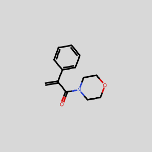 C=C(C(=O)N1CCOCC1)c1ccccc1